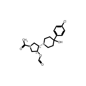 CC(=O)N1C[C@H](OC=O)[C@@H](N2CCC(O)(c3ccc(Cl)cc3)CC2)C1